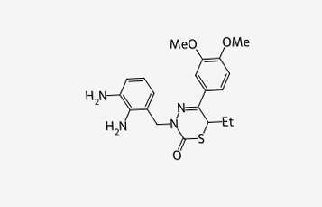 CCC1SC(=O)N(Cc2cccc(N)c2N)N=C1c1ccc(OC)c(OC)c1